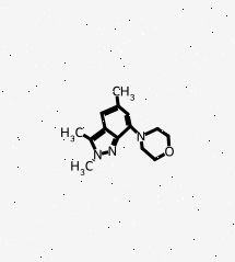 Cc1cc(N2CCOCC2)c2nn(C)c(C)c2c1